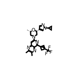 Cc1nc2cc(N3C[C@@H](c4cnn(C5CC5)c4)O[C@@H](C)C3)nc(C34CC(C(F)(F)F)(C3)C4)c2nc1C